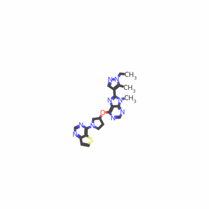 CCn1ncc(-c2nc3c(OC4CCN(c5ncnc6ccsc56)C4)ncnc3n2C)c1C